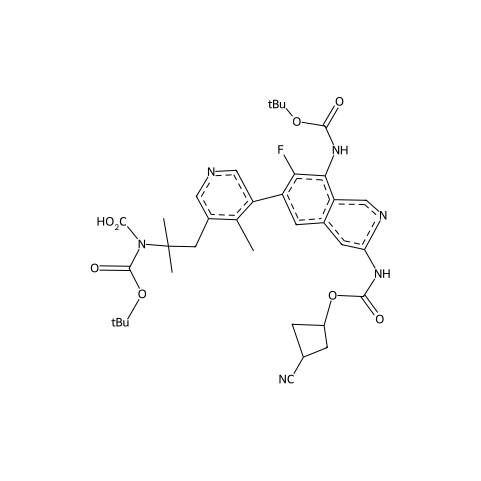 Cc1c(CC(C)(C)N(C(=O)O)C(=O)OC(C)(C)C)cncc1-c1cc2cc(NC(=O)OC3CC(C#N)C3)ncc2c(NC(=O)OC(C)(C)C)c1F